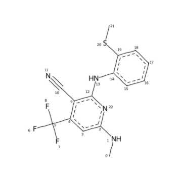 CNc1cc(C(F)(F)F)c(C#N)c(Nc2ccccc2SC)n1